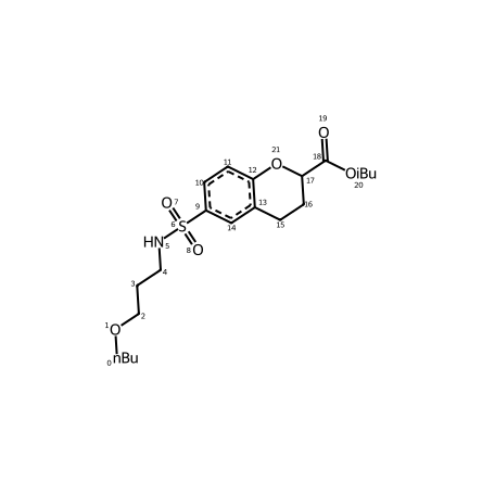 CCCCOCCCNS(=O)(=O)c1ccc2c(c1)CCC(C(=O)OCC(C)C)O2